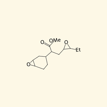 CCC1OC1CC(C(=O)OC)C1CCC2OC2C1